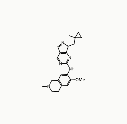 COc1cc2c(cc1Nc1ncc3cnn(CC4(C)CC4)c3n1)CN(C)CC2